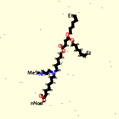 CC/C=C\CCCCOC(CCC(=O)OCCCCCCN(CCCCCCCC(=O)OCCCCCCCCC)CCCNSC)OCCCC/C=C\CC